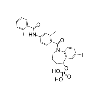 Cc1ccccc1C(=O)Nc1ccc(C(=O)N2CCCC(OP(=O)(O)O)c3cc(I)ccc32)c(C)c1